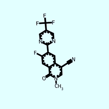 Cn1cc(C#N)c2cc(-c3ncc(C(F)(F)F)cn3)c(F)cc2c1=O